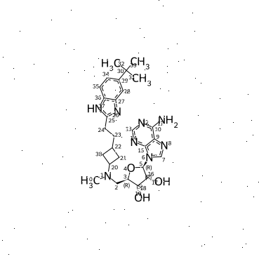 CN(C[C@H]1O[C@@H](n2cnc3c(N)ncnc32)[C@H](O)[C@@H]1O)C1CC(CCc2nc3cc(C(C)(C)C)ccc3[nH]2)C1